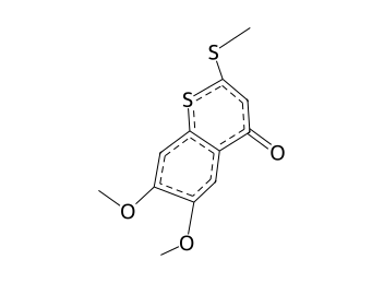 COc1cc2sc(SC)cc(=O)c2cc1OC